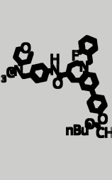 CCCCOC(C)Oc1ccc(-c2ccc3c(c2)C=C(C(=O)Nc2ccc(CN(C)C4CCOCC4)cc2)CCN3Cc2ccccc2F)cc1